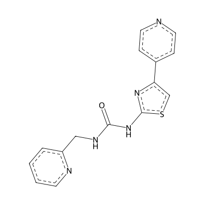 O=C(NCc1ccccn1)Nc1nc(-c2ccncc2)cs1